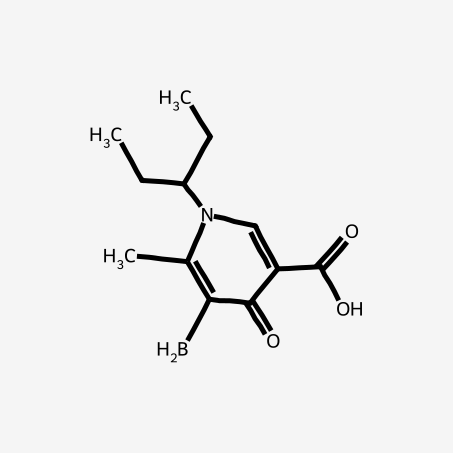 Bc1c(C)n(C(CC)CC)cc(C(=O)O)c1=O